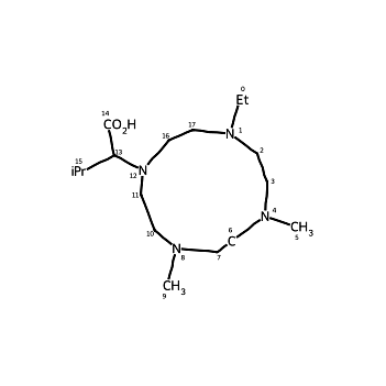 CCN1CCN(C)CCN(C)CCN(C(C(=O)O)C(C)C)CC1